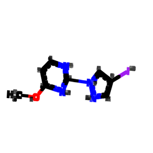 COc1ccnc(-n2cc(I)cn2)n1